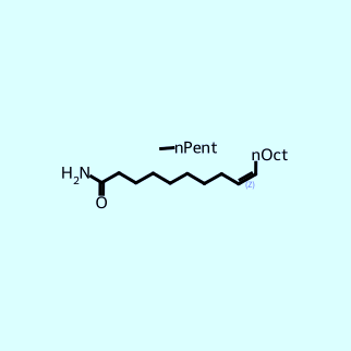 CCCCCC.CCCCCCCC/C=C\CCCCCCCC(N)=O